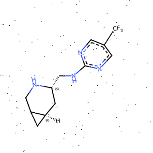 FC(F)(F)c1cnc(NC[C@@H]2C[C@H]3CC3CN2)nc1